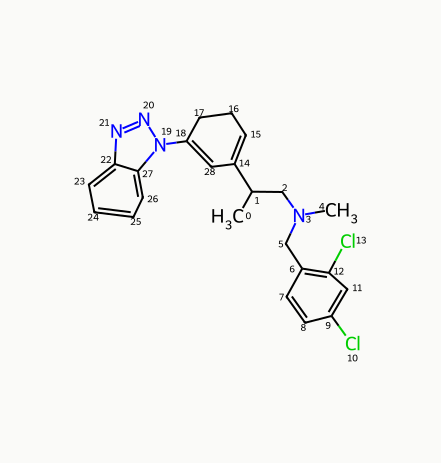 CC(CN(C)Cc1ccc(Cl)cc1Cl)C1=CCCC(n2nnc3ccccc32)=C1